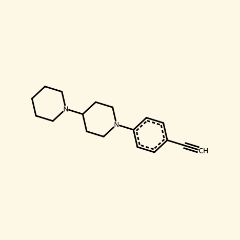 C#Cc1ccc(N2CCC(N3CCCCC3)CC2)cc1